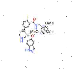 C#C/C=C(OC)\C(CNC(=O)c1cc([C@@H]2CCNC[C@H]2COc2ccc3[nH]ncc3c2)ccc1F)=C(/C)OC